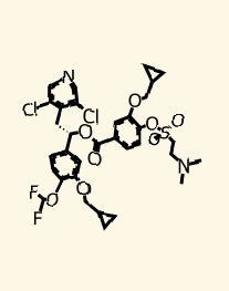 CN(C)CCS(=O)(=O)Oc1ccc(C(=O)O[C@@H](Cc2c(Cl)cncc2Cl)c2ccc(OC(F)F)c(OCC3CC3)c2)cc1OCC1CC1